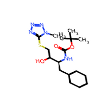 Cn1nnnc1SCC(O)[C@H](CC1CCCCC1)NC(=O)OC(C)(C)C